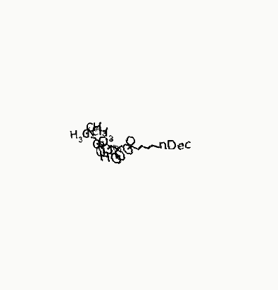 CCCCCCCCCCCCCCCC(=O)OC[C@H](COP(=O)([O-])OCC[N+](C)(C)C)OO